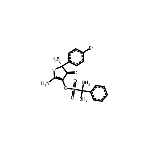 BC(B)(c1ccccc1)S(=O)(=O)OC1=C(N)O[C@@](B)(c2ccc(Br)cc2)C1=O